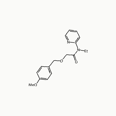 CCN(C(=O)COCc1ccc(OC)cc1)c1ccccn1